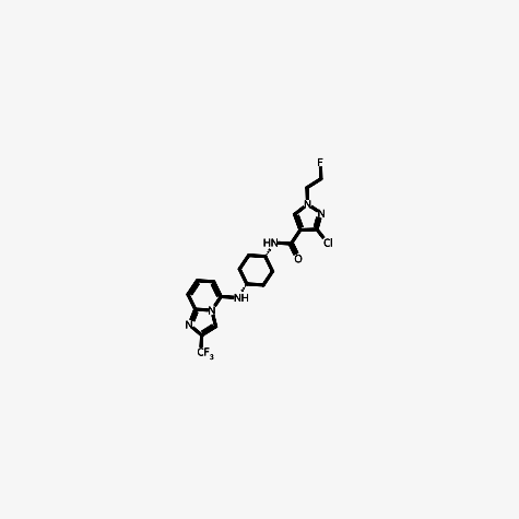 O=C(N[C@H]1CC[C@@H](Nc2cccc3nc(C(F)(F)F)cn23)CC1)c1cn(CCF)nc1Cl